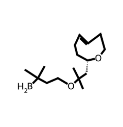 BC(C)(C)CCOC(C)(C)C[C@@H]1CC/C=C/CCO1